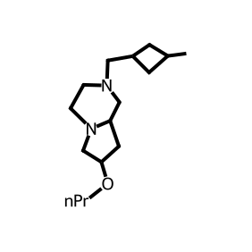 CCCOC1CC2CN(CC3CC(C)C3)CCN2C1